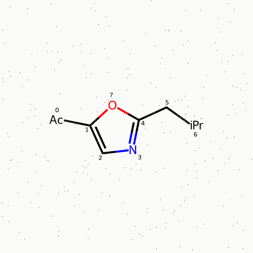 CC(=O)c1cnc(CC(C)C)o1